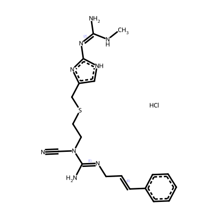 CN/C(N)=N\c1nc(CSCCN(C#N)/C(N)=N/C/C=C/c2ccccc2)c[nH]1.Cl